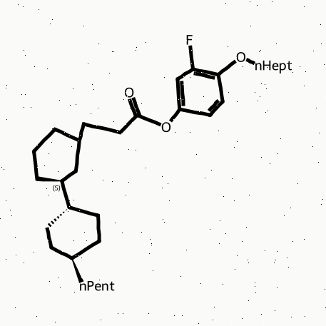 CCCCCCCOc1ccc(OC(=O)CCC2CCC[C@H]([C@H]3CC[C@H](CCCCC)CC3)C2)cc1F